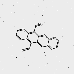 O=Cc1c2ccccc2c(C=O)c2cc3ccccc3cc12